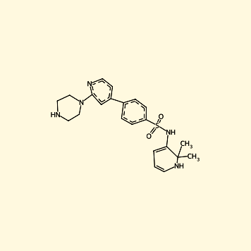 CC1(C)NC=CC=C1NS(=O)(=O)c1ccc(-c2ccnc(N3CCNCC3)c2)cc1